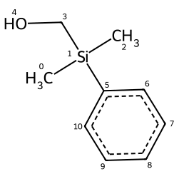 C[Si](C)(CO)c1ccccc1